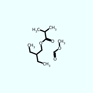 CCC(CC)COC(=O)C(C)C.COC=O